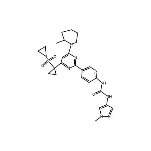 CC1CCCCN1c1cc(C2(S(=O)(=O)C3CC3)CC2)nc(-c2ccc(NC(=O)Nc3cnn(C)c3)nc2)n1